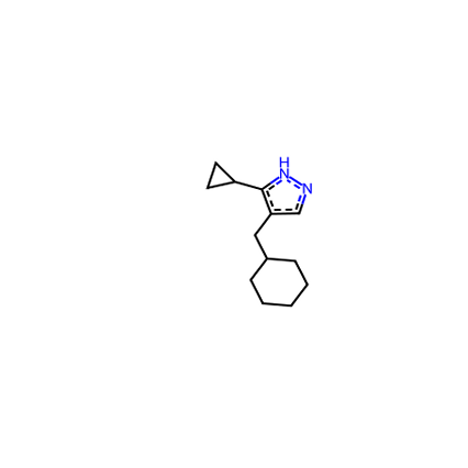 c1n[nH]c(C2CC2)c1CC1CCCCC1